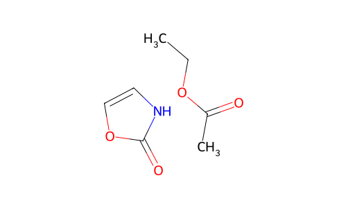 CCOC(C)=O.O=c1[nH]cco1